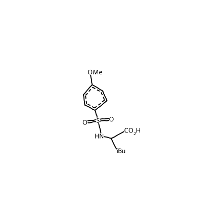 CCC(C)C(NS(=O)(=O)c1ccc(OC)cc1)C(=O)O